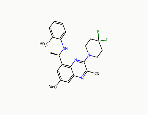 COc1cc([C@@H](C)Nc2ccccc2C(=O)O)c2nc(N3CCC(F)(F)CC3)c(C#N)nc2c1